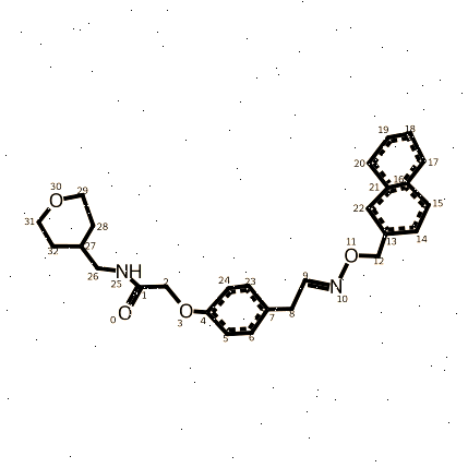 O=C(COc1ccc(CC=NOCc2ccc3ccccc3c2)cc1)NCC1CCOCC1